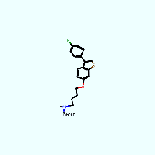 CCCCCN(C)CCCCOc1ccc2c(-c3ccc(F)cc3)csc2c1